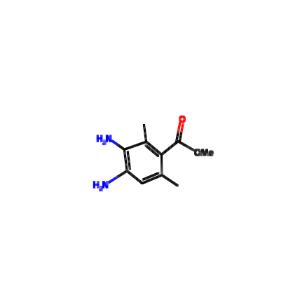 COC(=O)c1c(C)cc(N)c(N)c1C